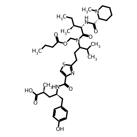 CCCC(=O)OCN(C(=O)[C@@H](NC(=O)[C@H]1CCCCN1C)[C@@H](C)CC)C(CCc1nc(C(=O)N[C@@H](Cc2ccc(O)cc2)C[C@H](C)C(=O)O)cs1)C(C)C